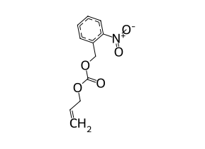 C=CCOC(=O)OCc1ccccc1[N+](=O)[O-]